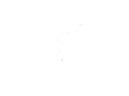 Brc1ccc(N2CCC3(CC2)CCN(C2CCC2)C3)nc1